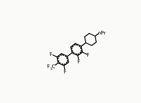 CCCC1CCC(c2ccc(-c3cc(F)c(C(F)(F)F)c(F)c3)c(F)c2F)CC1